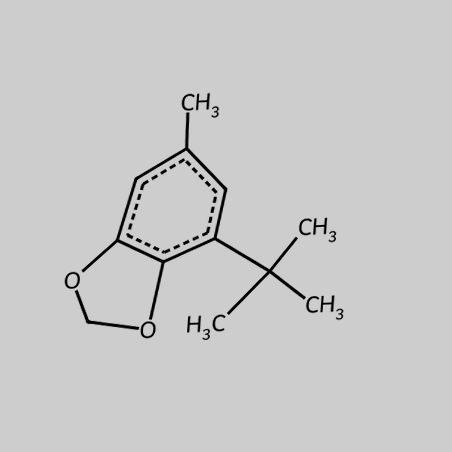 Cc1cc2c(c(C(C)(C)C)c1)OCO2